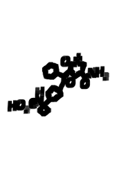 Cn1cc(C(N)=O)c2oc(-c3ccc(C4(NC(=O)O)CCC4)cc3)c(-c3ccccc3)c2c1=O